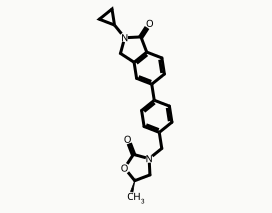 C[C@@H]1CN(Cc2ccc(-c3ccc4c(c3)CN(C3CC3)C4=O)cc2)C(=O)O1